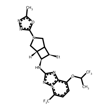 CC[C@@H]1C2CN(c3nnc(C)o3)C[C@H]2[C@@H]1Nc1nc2c(OC(C)C(F)(F)F)ccc(C(F)(F)F)n2n1